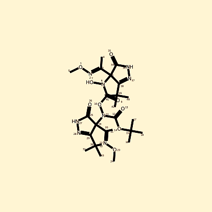 CON=C(C)C1(N(O)C(=O)ON(C(=O)OC(C)(C)C)C2(C(C)=NOC)C(=O)NN=C2C(C)(C)C)C(=O)NN=C1C(C)(C)C